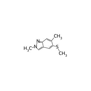 CSc1cc2cn(C)nc2cc1C